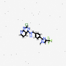 Cn1cc(C(F)(F)F)nc1-c1ccc(CNc2nc(Cl)nc3ncccc23)cc1